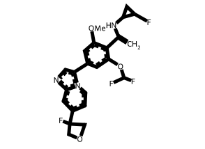 C=C(NC1CC1F)c1c(OC)cc(-c2cnc3cc(C4(F)COC4)ccn23)cc1OC(F)F